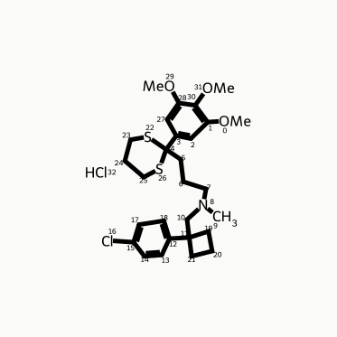 COc1cc(C2(CCCN(C)CC3(c4ccc(Cl)cc4)CCC3)SCCCS2)cc(OC)c1OC.Cl